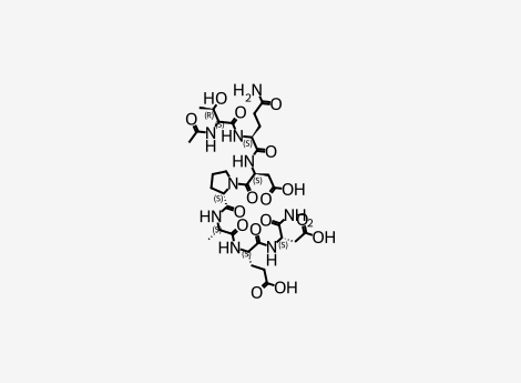 CC(=O)N[C@H](C(=O)N[C@@H](CCC(N)=O)C(=O)N[C@@H](CC(=O)O)C(=O)N1CCC[C@H]1C(=O)N[C@@H](C)C(=O)N[C@@H](CCC(=O)O)C(=O)N[C@@H](CC(=O)O)C(N)=O)[C@@H](C)O